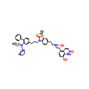 F.F.O=C(O)N(c1cc(CCCn2c(=O)oc3cc(CCNC[C@H](O)c4ccc(O)c5[nH]c(=O)ccc45)ccc32)ccc1-c1ccccc1)C1CN2CCC1CC2